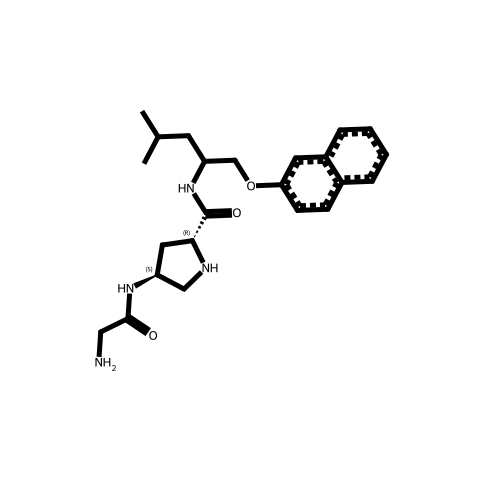 CC(C)CC(COc1ccc2ccccc2c1)NC(=O)[C@H]1C[C@H](NC(=O)CN)CN1